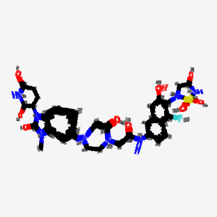 Cn1c(=O)n(C2CCC(=O)NC2=O)c2ccc(N3CCN(CC(=O)Nc4ccc5c(F)c(N6CC(=O)NS6(=O)=O)c(O)cc5c4)C(=O)C3)cc21